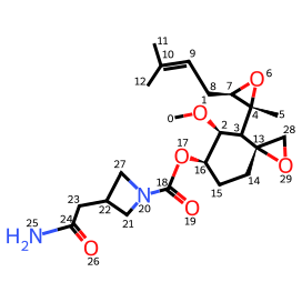 CO[C@H]1C([C@@]2(C)O[C@@H]2CC=C(C)C)[C@]2(CC[C@H]1OC(=O)N1CC(CC(N)=O)C1)CO2